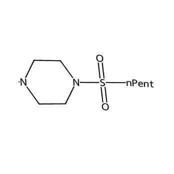 CCCCCS(=O)(=O)N1CC[N]CC1